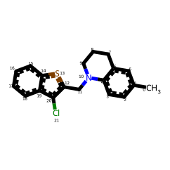 Cc1ccc2c(c1)CCCN2Cc1sc2ccccc2c1Cl